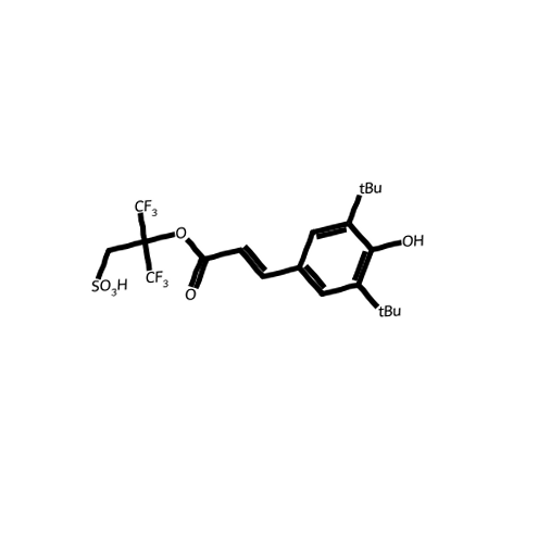 CC(C)(C)c1cc(/C=C/C(=O)OC(CS(=O)(=O)O)(C(F)(F)F)C(F)(F)F)cc(C(C)(C)C)c1O